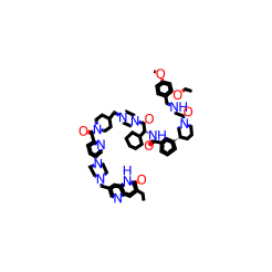 CCOc1cc(OC)ccc1CNCC(=O)N1CCC[C@H](c2cccc(C(=O)N[C@@H](C(=O)N3CCN(CC4CCN(C(=O)c5ccc(N6CCN(Cc7cnc8cc(CC)c(=O)[nH]c8c7)CC6)cn5)CC4)CC3)C3CCCCC3)c2)C1